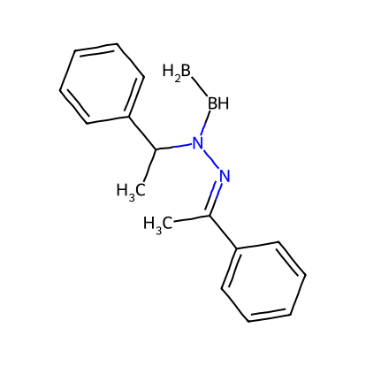 BBN(/N=C(\C)c1ccccc1)C(C)c1ccccc1